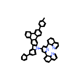 Cc1ccc(-c2ccc3c(c2)c2ccccc2c2cc4c5cc(-c6ccccc6)ccc5n(-c5cc(-c6cccc7cccnc67)nc(-c6cccc7cccnc67)c5)c4cc32)cc1